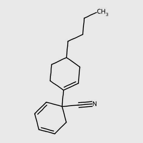 CCCCC1CC=C(C2(C#N)C=CC=CC2)CC1